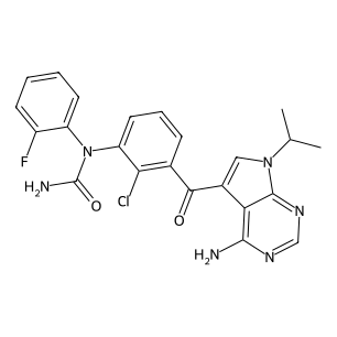 CC(C)n1cc(C(=O)c2cccc(N(C(N)=O)c3ccccc3F)c2Cl)c2c(N)ncnc21